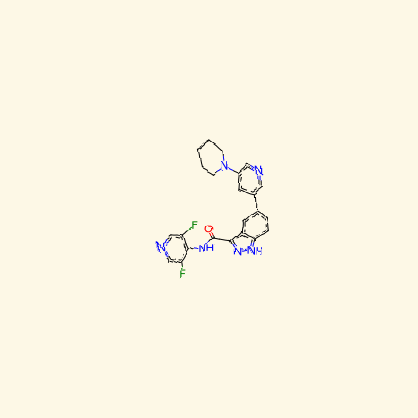 O=C(Nc1c(F)cncc1F)c1n[nH]c2ccc(-c3cncc(N4CCCCC4)c3)cc12